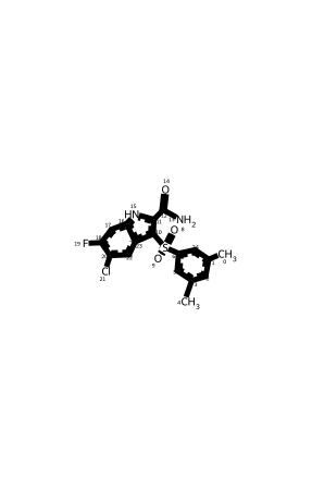 Cc1cc(C)cc(S(=O)(=O)c2c(C(N)=O)[nH]c3cc(F)c(Cl)cc23)c1